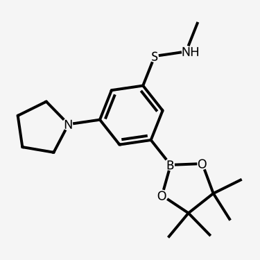 CNSc1cc(B2OC(C)(C)C(C)(C)O2)cc(N2CCCC2)c1